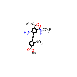 CCOC(=O)NC(=O)c1cc(C#Cc2ccc(C(=O)OC(C)(C)C)cc2[N+](=O)[O-])c(N)cc1C(=O)OC